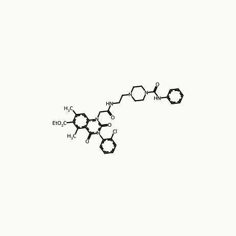 CCOC(=O)c1c(C)cc2c(c1C)c(=O)n(-c1ccccc1Cl)c(=O)n2CC(=O)NCCN1CCN(C(=O)Nc2ccccc2)CC1